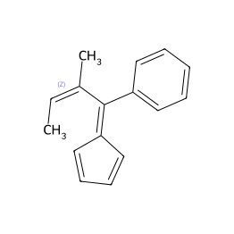 C/C=C(/C)C(=C1C=CC=C1)c1ccccc1